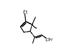 CCC1=CCC(C(C)=CO)C1(C)C